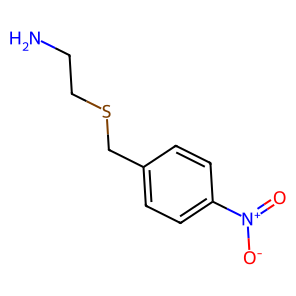 NCCSCc1ccc([N+](=O)[O-])cc1